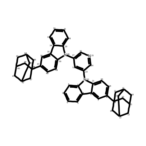 c1ccc2c(c1)c1cc(C34CC5CC(CC(C5)C3)C4)ccc1n2-c1cncc(-n2c3ccccc3c3cc(C45CC6CC(CC(C6)C4)C5)ccc32)c1